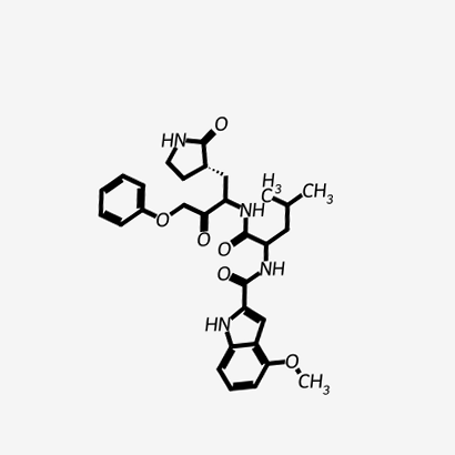 COc1cccc2[nH]c(C(=O)NC(CC(C)C)C(=O)NC(C[C@@H]3CCNC3=O)C(=O)COc3ccccc3)cc12